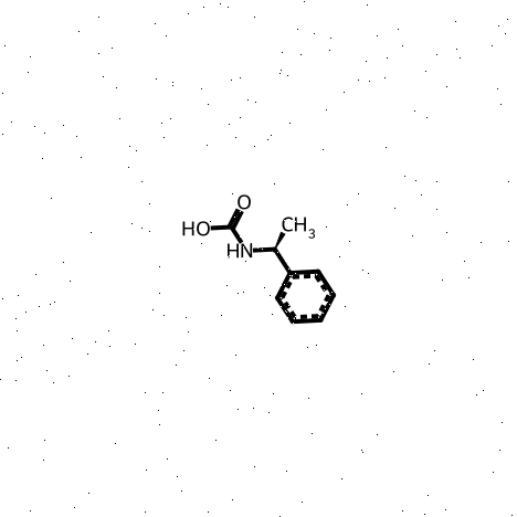 C[C@H](NC(=O)O)c1ccccc1